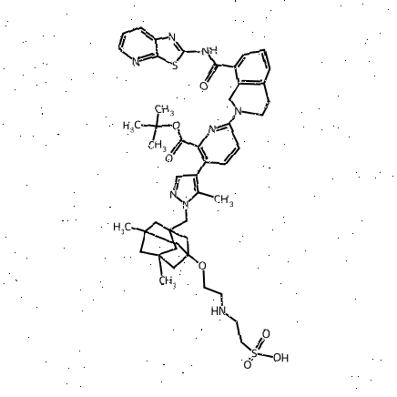 Cc1c(-c2ccc(N3CCc4cccc(C(=O)Nc5nc6cccnc6s5)c4C3)nc2C(=O)OC(C)(C)C)cnn1CC12CC3(C)CC(C)(C1)CC(OCCNCCS(=O)(=O)O)(C3)C2